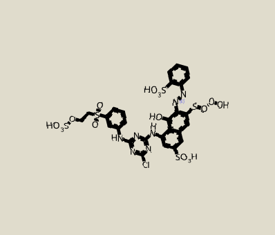 O=S(=O)(O)OCCS(=O)(=O)c1cccc(Nc2nc(Cl)nc(Nc3cc(S(=O)(=O)O)cc4cc(SOOO)c(/N=N/c5ccccc5S(=O)(=O)O)c(O)c34)n2)c1